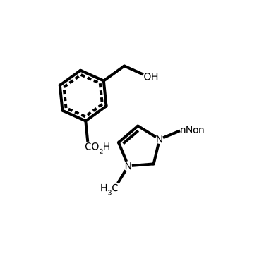 CCCCCCCCCN1C=CN(C)C1.O=C(O)c1cccc(CO)c1